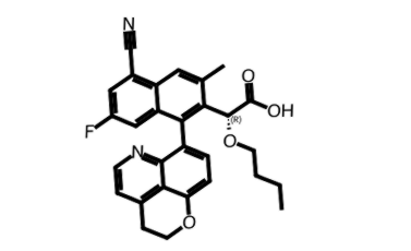 CCCCO[C@@H](C(=O)O)c1c(C)cc2c(C#N)cc(F)cc2c1-c1ccc2c3c(ccnc13)CCO2